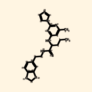 CCCC(Nc1cc(C)nc(-n2ccnc2)n1)C(=S)NCCc1ccc2c(c1)OCO2